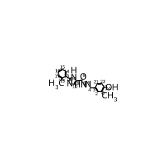 Cc1cc(/C=N/NC(=O)c2cnc(-c3ccccc3C)[nH]2)ccc1O